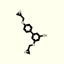 Oc1cc(OCC2CO2)cc(-c2ccc(OCC3CO3)cc2)c1